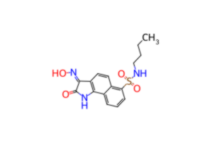 CCCCNS(=O)(=O)c1cccc2c3c(ccc12)/C(=N/O)C(=O)N3